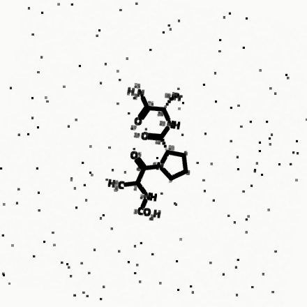 CC(NC(=O)O)C(=O)N1CCC[C@H]1C(=O)N[C@H](C(N)=O)C(C)C